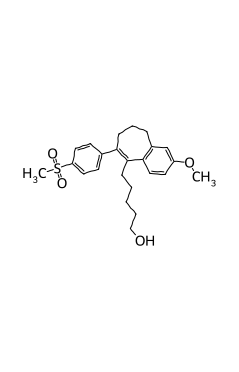 COc1ccc2c(c1)CCCC(c1ccc(S(C)(=O)=O)cc1)=C2CCCCCO